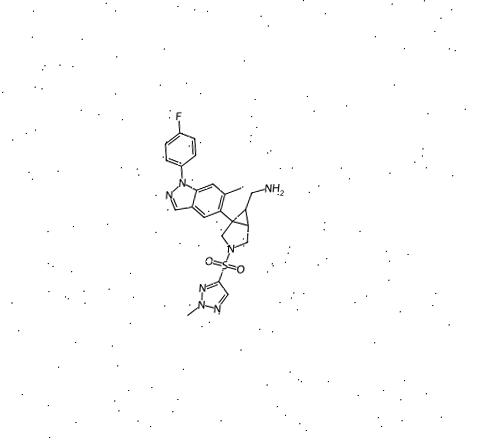 Cc1cc2c(cnn2-c2ccc(F)cc2)cc1C12CN(S(=O)(=O)c3cnn(C)n3)CC1C2CN